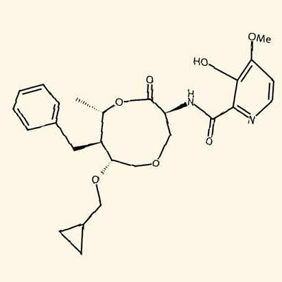 COc1ccnc(C(=O)N[C@H]2COC[C@H](OCC3CC3)[C@@H](Cc3ccccc3)[C@H](C)OC2=O)c1O